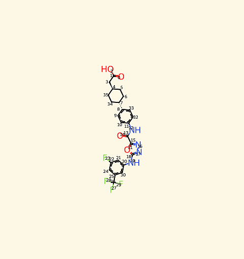 O=C(O)C[C@H]1CC[C@H](c2ccc(NC(=O)c3nnc(Nc4cc(F)cc(C(F)(F)F)c4)o3)cc2)CC1